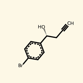 C#CC[C@@H](O)c1ccc(Br)cc1